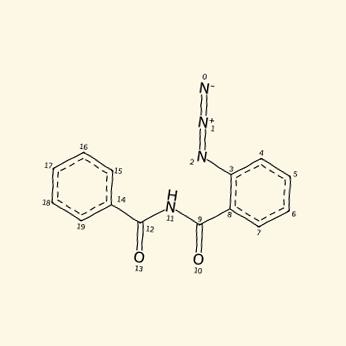 [N-]=[N+]=Nc1ccccc1C(=O)NC(=O)c1ccccc1